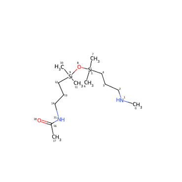 CNCCC[Si](C)(C)O[Si](C)(C)CCCNC(C)=O